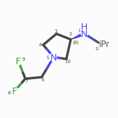 CC(C)N[C@@H]1CCN(CC(F)F)C1